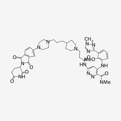 CNC(=O)c1nnc(NC(=O)CCN2CCC(CCCN3CCN(c4ccc5c(c4)C(=O)N(C4CCC(=O)NC4=O)C5=O)CC3)CC2)cc1Nc1cccc(-c2ncn(C)n2)c1OC